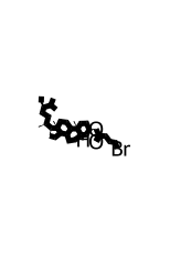 CC[C@H](CC[C@@H](C)[C@H]1CCC2C3CC[C@H]4C[C@@H](OC(=O)CCCBr)CC[C@]4(C)C3CC[C@@]21C)C(C)C